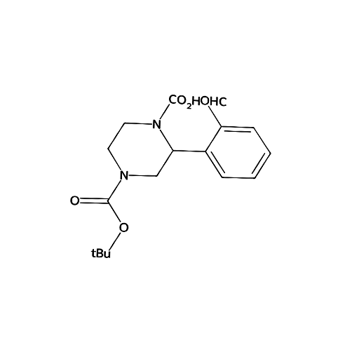 CC(C)(C)OC(=O)N1CCN(C(=O)O)C(c2ccccc2C=O)C1